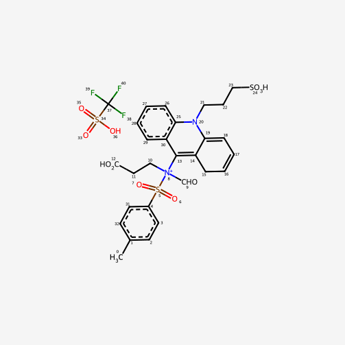 Cc1ccc(S(=O)(=O)[N+](C=O)(CCC(=O)O)C2=C3CC=CC=C3N(CCCS(=O)(=O)O)c3ccccc32)cc1.O=S(=O)(O)C(F)(F)F